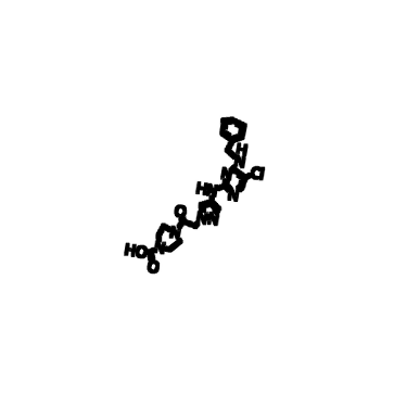 O=C(O)N1CCN(C(=O)Cn2cc(Nc3ncc(Cl)c(NCc4ccccc4)n3)cn2)CC1